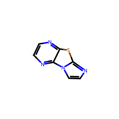 [c]1cnc2sc3nccn3c2n1